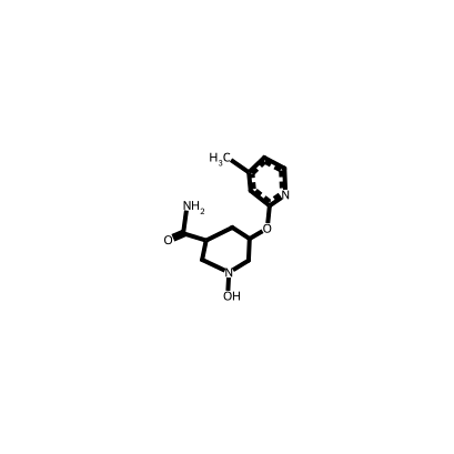 Cc1ccnc(OC2CC(C(N)=O)CN(O)C2)c1